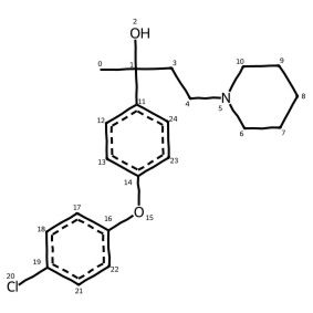 CC(O)(CCN1CCCCC1)c1ccc(Oc2ccc(Cl)cc2)cc1